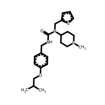 CC(C)COc1ccc(CNC(=O)N(Cc2cccs2)C2CCN(C)CC2)cc1